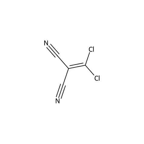 N#CC(C#N)=C(Cl)Cl